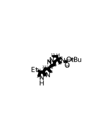 CCc1c[nH]c2ncc(-c3cc4n(n3)CCC43CN(C(=O)OC(C)(C)C)C3)cc12